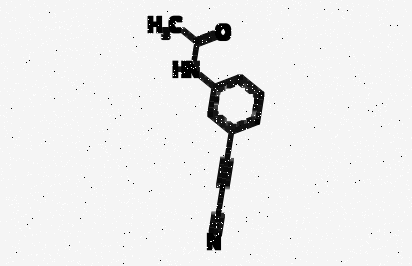 CC(=O)Nc1cccc(C#CC#N)c1